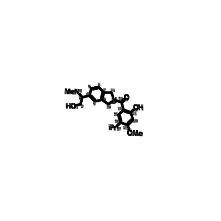 CNC(CO)c1ccc2c(c1)CN(C(=O)c1cc(C(C)C)c(OC)cc1O)C2